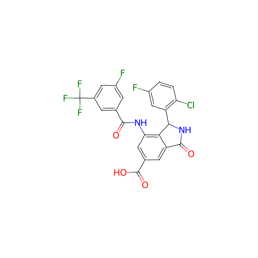 O=C(O)c1cc(NC(=O)c2cc(F)cc(C(F)(F)F)c2)c2c(c1)C(=O)NC2c1cc(F)ccc1Cl